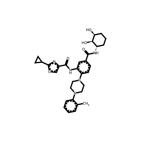 Cc1ccccc1N1CCN(c2ccc(C(=O)N[C@H]3CCC[C@H](O)[C@@H]3O)cc2NC(=O)c2coc(C3CC3)n2)CC1